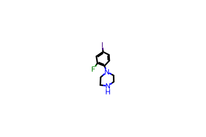 Fc1cc(I)ccc1N1CCNCC1